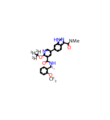 [2H]C([2H])([2H])Oc1ncc(-c2ccc3c(C(=O)NC)n[nH]c3c2)cc1C(=O)N[C@H](C)c1ccccc1OC(F)(F)F